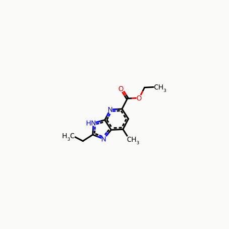 CCOC(=O)c1cc(C)c2nc(CC)[nH]c2n1